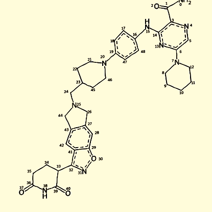 NC(=O)c1ncc(N2CCCCC2)nc1Nc1ccc(N2CCC(CN3Cc4cc5onc(C6CCC(=O)NC6=O)c5cc4C3)CC2)cc1